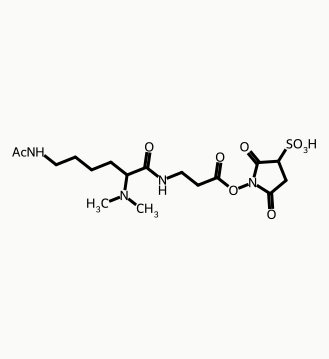 CC(=O)NCCCCC(C(=O)NCCC(=O)ON1C(=O)CC(S(=O)(=O)O)C1=O)N(C)C